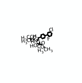 CCOC(=O)[C@](C)(CO)C[C@@H](Cc1ccc(-c2cc(Cl)ccc2F)cc1)NC(=O)OC(C)(C)C